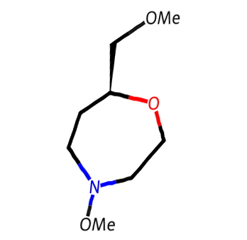 COC[C@@H]1CCN(OC)CCO1